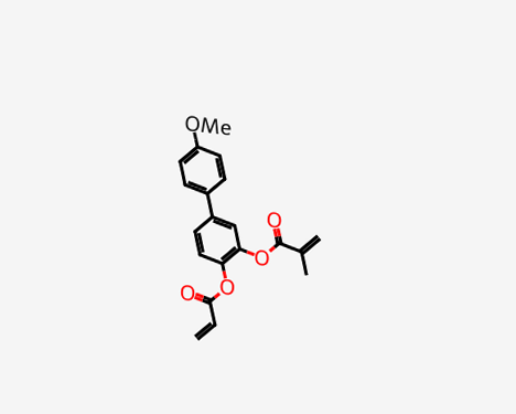 C=CC(=O)Oc1ccc(-c2ccc(OC)cc2)cc1OC(=O)C(=C)C